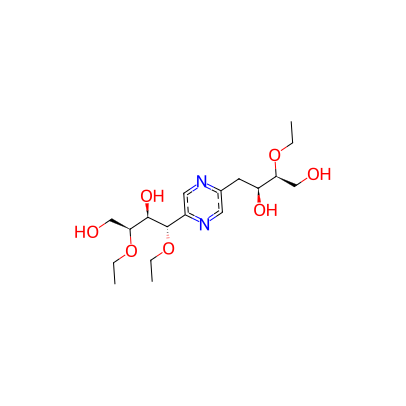 CCO[C@@H](CO)[C@@H](O)[C@@H](OCC)c1cnc(C[C@H](O)[C@H](CO)OCC)cn1